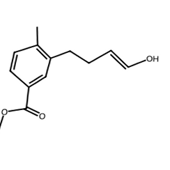 COC(=O)c1ccc(C)c(CCC=CO)c1